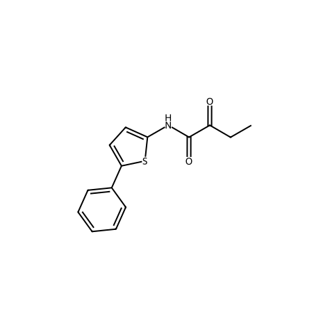 CCC(=O)C(=O)Nc1ccc(-c2ccccc2)s1